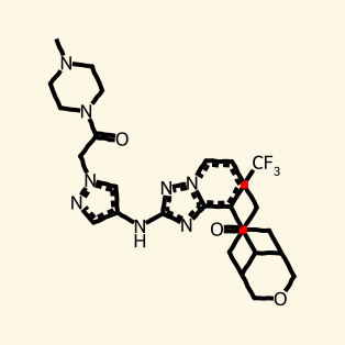 CN1CCN(C(=O)Cn2cc(Nc3nc4c(C5CC6COCC(C5)C6C(=O)CCC(F)(F)F)cccn4n3)cn2)CC1